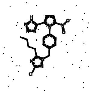 CCCCc1nc(Cl)nn1Cc1ccc(-n2c(-c3nnn[nH]3)ccc2[N+](=O)[O-])cc1